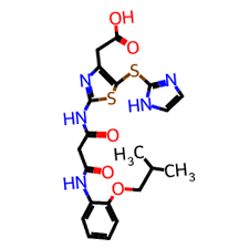 CC(C)COc1ccccc1NC(=O)CC(=O)Nc1nc(CC(=O)O)c(Sc2ncc[nH]2)s1